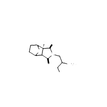 COC(CO)CN1C(=O)C2C3CCC(O3)[C@@H]2C1=O